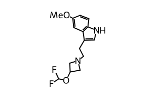 COc1ccc2[nH]cc(CCN3CC(OC(F)F)C3)c2c1